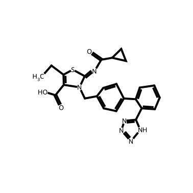 CCc1sc(=NC(=O)C2CC2)n(Cc2ccc(-c3ccccc3-c3nnn[nH]3)cc2)c1C(=O)O